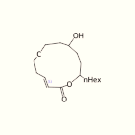 CCCCCCC1CCC(O)CCCCC/C=C/C(=O)O1